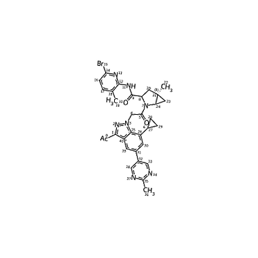 CC(=O)c1nn(CC(=O)N2C(C(=O)Nc3nc(Br)ccc3C)C[C@@]3(C)CC23)c2c(C3CC3)cc(-c3cnc(C)nc3)cc12